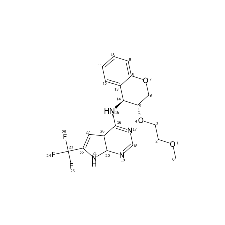 COCCO[C@H]1COc2ccccc2[C@@H]1NC1=NC=NC2NC(C(F)(F)F)=CC12